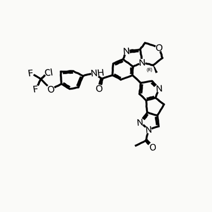 CC(=O)n1cc2c(n1)-c1cc(-c3cc(C(=O)Nc4ccc(OC(F)(F)Cl)cc4)cc4nc5n(c34)[C@H](C)COC5)cnc1C2